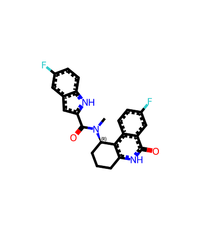 CN(C(=O)c1cc2cc(F)ccc2[nH]1)[C@@H]1CCCc2[nH]c(=O)c3cc(F)ccc3c21